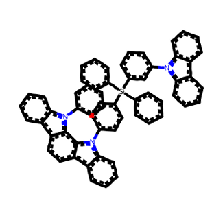 c1ccc(-n2c3ccccc3c3ccc4c5ccccc5n(-c5ccc([Si](c6ccccc6)(c6ccccc6)c6cccc(-n7c8ccccc8c8ccccc87)c6)cc5)c4c32)cc1